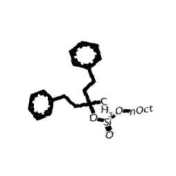 CCCCCCCCO[Si](=O)OC(C)(CCc1ccccc1)CCc1ccccc1